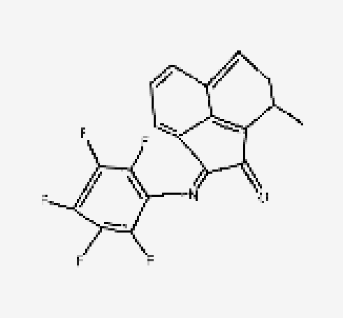 CC1CC=c2cccc3c2=C1C(=O)/C3=N/c1c(F)c(F)c(F)c(F)c1F